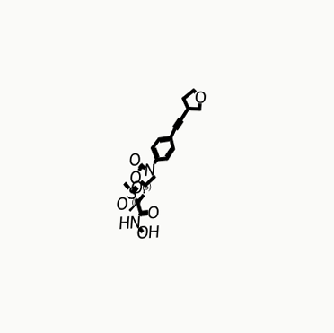 C[C@@](C[C@H]1CN(c2ccc(C#CC3CCOC3)cc2)C(=O)O1)(C(=O)NO)S(C)(=O)=O